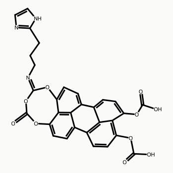 O=C(O)Oc1ccc2c3ccc4c5c(ccc(c6ccc(OC(=O)O)c1c26)c53)OC(=NCCCc1ncc[nH]1)OC(=O)O4